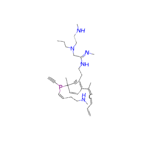 C#CP(/C=C\CCNC)C(C)(C#C)/C=C\C(=C\CCN/C(CN(CCC)CCNC)=N\C)C(C)=C=CC=C